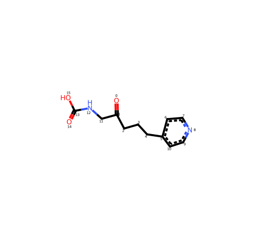 O=C(CCCc1ccncc1)CNC(=O)O